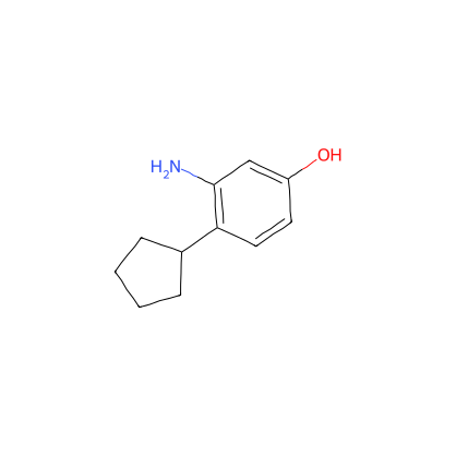 Nc1cc(O)ccc1C1CCCC1